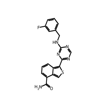 NC(=O)c1cccc2c(-c3ncnc(NCc4cccc(F)c4)n3)scc12